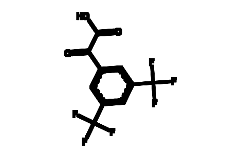 O=C(O)C(=O)c1cc(C(F)(F)F)cc(C(F)(F)F)c1